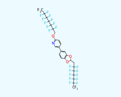 FC(F)(F)C(F)(F)C(F)(F)C(F)(F)C(F)(F)C(F)(F)COc1ccc(-c2ccc3c(c2)OC(CC(F)(F)C(F)(F)C(F)(F)C(F)(F)C(F)(F)C(F)(F)F)O3)cn1